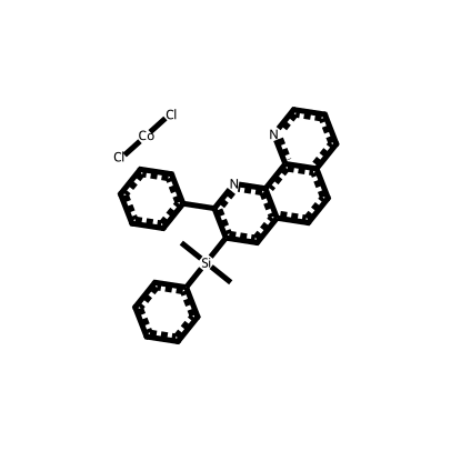 C[Si](C)(c1ccccc1)c1cc2ccc3cccnc3c2nc1-c1ccccc1.[Cl][Co][Cl]